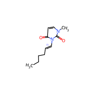 CCCC/C=C/n1c(=O)ccn(C)c1=O